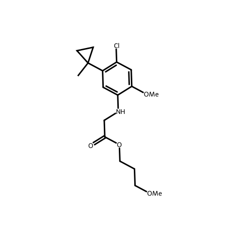 COCCCOC(=O)CNc1cc(C2(C)CC2)c(Cl)cc1OC